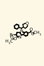 COC(=O)c1ccc2c3nc(OC(C)=O)c(Br)cc3n(C(c3ccccc3)C3CCOCC3)c2c1